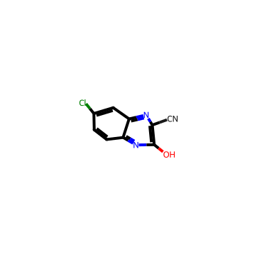 N#Cc1nc2cc(Cl)ccc2nc1O